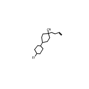 C=CCCC1(C#N)CCC(C2CCC(CC)CC2)CC1